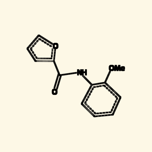 COc1ccccc1NC(=O)c1ccco1